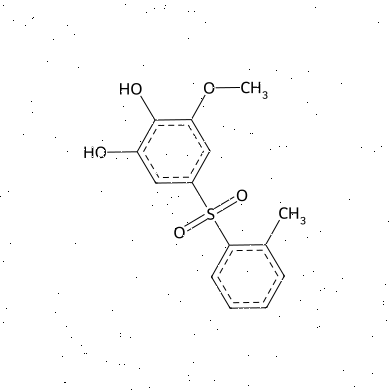 COc1cc(S(=O)(=O)c2ccccc2C)cc(O)c1O